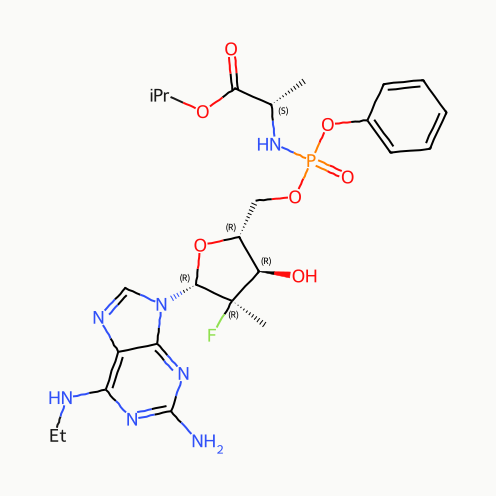 CCNc1nc(N)nc2c1ncn2[C@@H]1O[C@H](COP(=O)(N[C@@H](C)C(=O)OC(C)C)Oc2ccccc2)[C@@H](O)[C@@]1(C)F